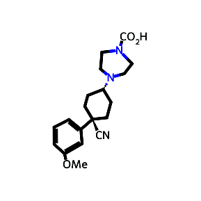 COc1cccc([C@]2(C#N)CC[C@H](N3CCN(C(=O)O)CC3)CC2)c1